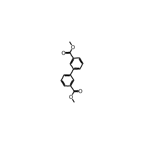 COC(=O)c1cccc(-c2cccc(C(=O)OC)c2)c1